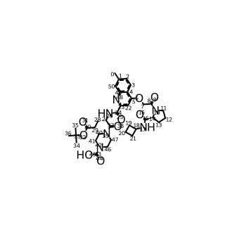 Cc1ccc2c(OCC(=O)N3CCC[C@H]3C(=O)NC3CCC3)cc(C(=O)N[C@@H](CCC(=O)OC(C)(C)C)C(=O)N3CCN(C(=O)O)CC3)nc2c1